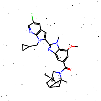 COc1cc(C(=O)N2C[C@H]3CC4C[C@@H]2[C@H]43)cc2nc(-c3cc4cc(Cl)cnc4n3CC3CC3)n(C)c12